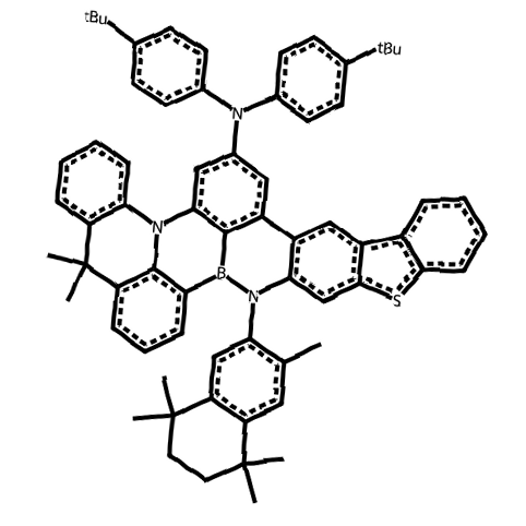 Cc1cc2c(cc1N1B3c4cccc5c4N(c4ccccc4C5(C)C)c4cc(N(c5ccc(C(C)(C)C)cc5)c5ccc(C(C)(C)C)cc5)cc(c43)-c3cc4c(cc31)sc1ccccc14)C(C)(C)CCC2(C)C